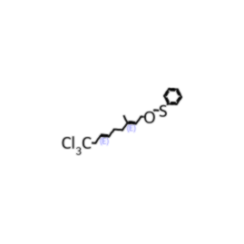 C/C(=C\COCSc1ccccc1)CC/C=C/CC(Cl)(Cl)Cl